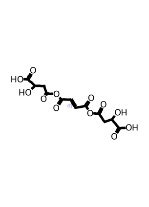 O=C(/C=C/C(=O)OC(=O)CC(O)C(=O)O)OC(=O)CC(O)C(=O)O